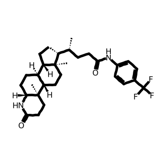 C[C@H](CCC(=O)Nc1ccc(C(F)(F)F)cc1)[C@H]1CC[C@H]2[C@@H]3CC[C@H]4NC(=O)CC[C@]4(C)[C@H]3CC[C@]12C